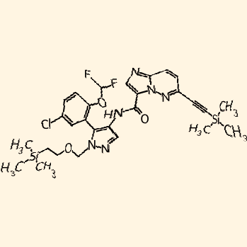 C[Si](C)(C)C#Cc1ccc2ncc(C(=O)Nc3cnn(COCC[Si](C)(C)C)c3-c3cc(Cl)ccc3OC(F)F)n2n1